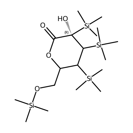 C[Si](C)(C)OCC1OC(=O)[C@@](O)([Si](C)(C)C)C([Si](C)(C)C)C1[Si](C)(C)C